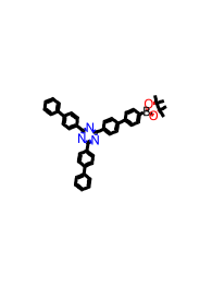 CC1(C)OB(c2ccc(-c3ccc(-c4nc(-c5ccc(-c6ccccc6)cc5)nc(-c5ccc(-c6ccccc6)cc5)n4)cc3)cc2)OC1(C)C